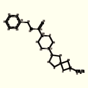 CCOC(=O)N1CC2(CCC(N3CCN(C(=O)OCc4ccccc4)CC3)C2)C1